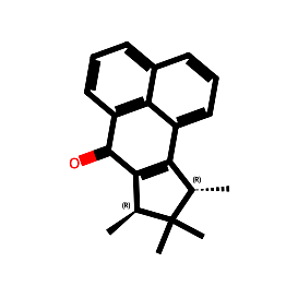 C[C@H]1C2=C(c3cccc4cccc(c34)C2=O)[C@H](C)C1(C)C